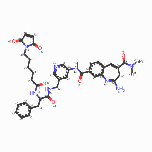 CCCN(CCC)C(=O)C1=Cc2ccc(C(=O)Nc3cncc(CNC(=O)C(Cc4ccccc4)NC(=O)CCCCCN4C(=O)C=CC4=O)c3)cc2N=C(N)C1